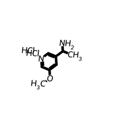 COc1cncc(C(C)N)c1.Cl.Cl